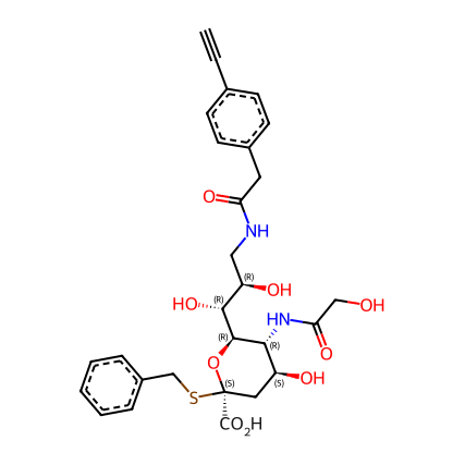 C#Cc1ccc(CC(=O)NC[C@@H](O)[C@@H](O)[C@@H]2O[C@@](SCc3ccccc3)(C(=O)O)C[C@H](O)[C@H]2NC(=O)CO)cc1